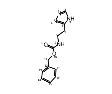 O=C(NCCc1nnc[nH]1)OCc1ccccc1